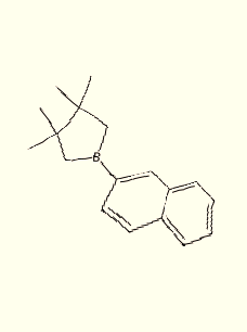 CC1(C)CB(c2ccc3ccccc3c2)CC1(C)C